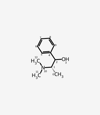 C[C@@H](C(O)c1ccccc1)N(C)C